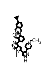 CCN1CCC(c2n[nH]cc2-c2cc3c(-c4cccc(N5Cc6ccc(C7CC7)cc6C=N5)c4CO)ncnc3[nH]2)CC1